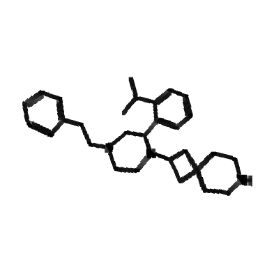 CC(C)c1ccccc1C1CN(CCc2ccccc2)CCN1C1CC2(CCNCC2)C1